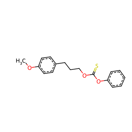 COc1ccc(CCCOC(=S)Oc2ccccc2)cc1